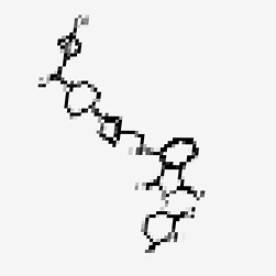 O=C1CCC(N2C(=O)c3cccc(NCc4cnn(C5CCN(C(=O)C67CC(O)(C6)C7)CC5)c4)c3C2=O)C(=O)N1